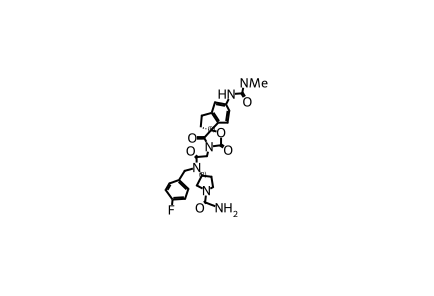 CNC(=O)Nc1ccc2c(c1)CC[C@@]21OC(=O)N(CC(=O)N(Cc2ccc(F)cc2)[C@@H]2CCN(C(N)=O)C2)C1=O